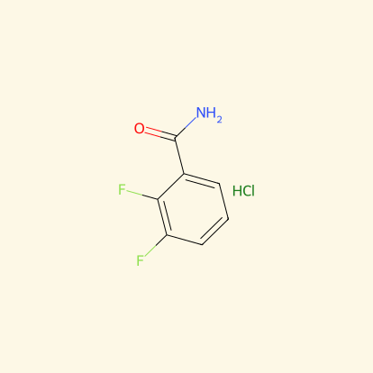 Cl.NC(=O)c1cccc(F)c1F